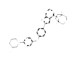 N[C@@H]1CCCN(c2ncc(Nc3ccc(-c4cc5c(N6[C@@H]7CC[C@H]6COC7)ncnc5[nH]4)cc3)cn2)C1